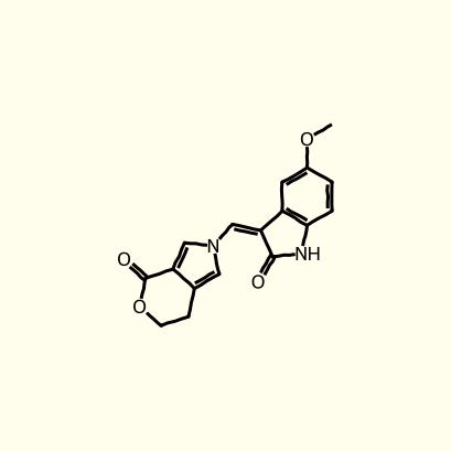 COc1ccc2c(c1)C(=Cn1cc3c(c1)C(=O)OCC3)C(=O)N2